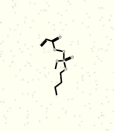 C=CC(=O)OOP(=O)(OC)OCCCC